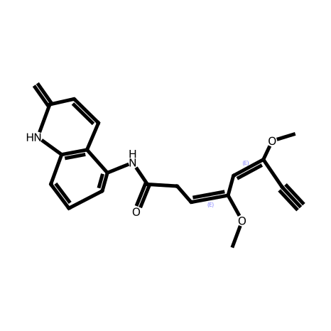 C#C/C(=C\C(=C/CC(=O)Nc1cccc2c1C=CC(=C)N2)OC)OC